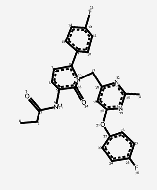 CCC(=O)Nc1ccc(-c2ccc(F)cc2)n(Cc2cc(Oc3ccc(F)cc3)nc(C)n2)c1=O